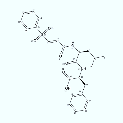 CC(C)C[C@H](NC(=O)C=CS(=O)(=O)c1ccccc1)C(=O)N[C@@H](Cc1ccccc1)C(=O)O